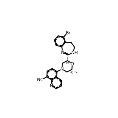 C[C@@H]1CN(c2ccc(C#N)c3ncccc23)C[C@H](C2=Nc3cccc(Br)c3CCN2)O1